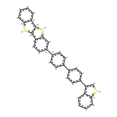 c1ccc2c(-c3ccc(-c4ccc(-c5ccc6c(c5)sc5c7ccccc7sc65)cc4)cc3)csc2c1